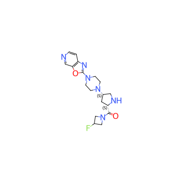 O=C([C@@H]1C[C@H](N2CCN(c3nc4ccncc4o3)CC2)CN1)N1CC(F)C1